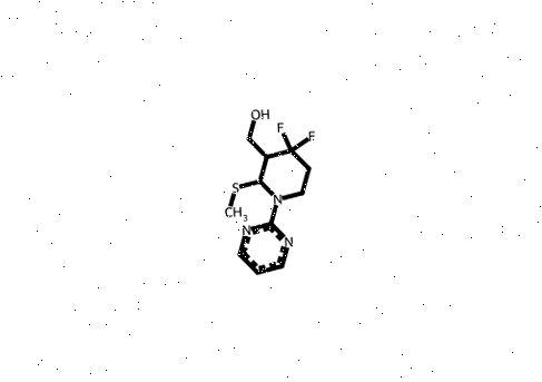 CSC1C(CO)C(F)(F)CCN1c1ncccn1